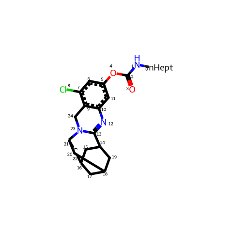 CCCCCCCNC(=O)Oc1cc(Cl)c2c(c1)N=C1C3CC4CC(C3)CC(C4)N1C2